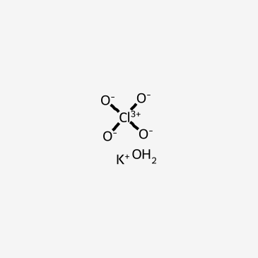 O.[K+].[O-][Cl+3]([O-])([O-])[O-]